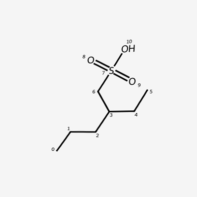 CCCC(CC)CS(=O)(=O)O